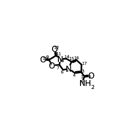 NC(=O)C1=CN2CC3OC(=O)C(=O)N3CC2=CC1